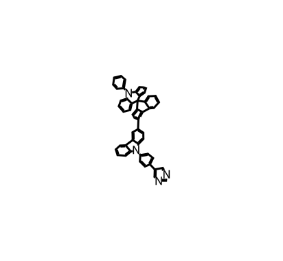 c1ccc(N2c3ccccc3C3(c4ccccc4-c4cc(-c5ccc6c(c5)c5ccccc5n6-c5ccc(-c6cncnc6)cc5)ccc43)c3ccccc32)cc1